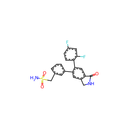 NS(=O)(=O)Cc1cccc(-c2cc3c(cc2-c2ccc(F)cc2F)C(=O)NC3)c1